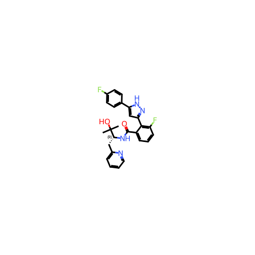 CC(C)(O)[C@@H](Cc1ccccn1)NC(=O)c1cccc(F)c1-c1cc(-c2ccc(F)cc2)[nH]n1